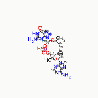 C#C[C@@]12COP(=O)(S)O[C@H](F)[C@H](n3nnc4c(=O)[nH]c(N)nc43)O[C@@H](C)CCC[C@H]1C[C@H](n1cnc3c(N)ncnc31)O2